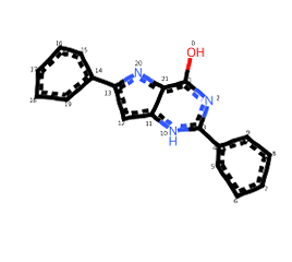 Oc1nc(-c2ccccc2)[nH]c2cc(-c3ccccc3)nc1-2